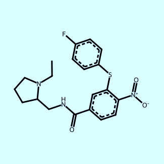 CCN1CCCC1CNC(=O)c1ccc([N+](=O)[O-])c(Sc2ccc(F)cc2)c1